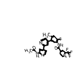 CC(=O)Nc1cc(-c2cc(-c3cc(NC(=O)c4ccnc(C(F)(F)F)c4)c(F)cc3C)ccn2)ccn1